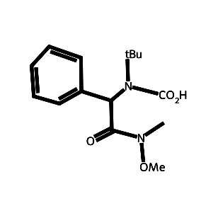 CON(C)C(=O)C(c1ccccc1)N(C(=O)O)C(C)(C)C